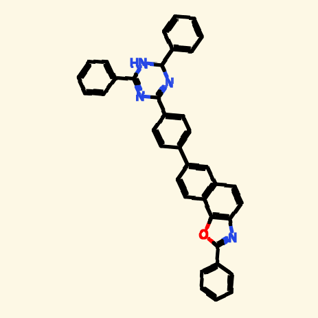 c1ccc(C2=NC(c3ccc(-c4ccc5c(ccc6nc(-c7ccccc7)oc65)c4)cc3)=NC(c3ccccc3)N2)cc1